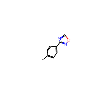 [CH2]c1ccc(-c2ncon2)cc1